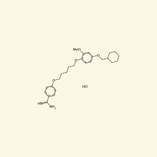 COc1cc(OCC2CCCCC2)ccc1OCCCCCOc1ccc(C(=N)N)cc1.Cl